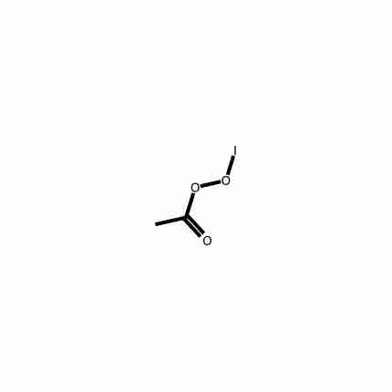 CC(=O)OOI